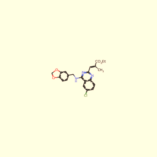 CCOC(=O)C(C)=Cc1nc(NCc2ccc3c(c2)OCO3)c2cc(Cl)ccc2n1